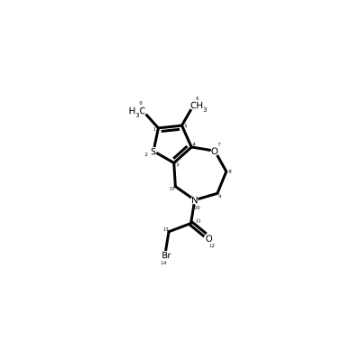 Cc1sc2c(c1C)OCCN(C(=O)CBr)C2